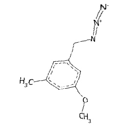 COc1cc(C)cc(CN=[N+]=[N-])c1